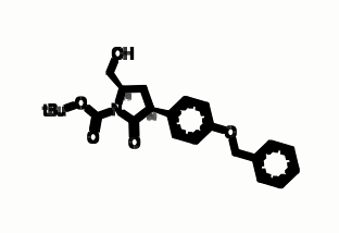 CC(C)(C)OC(=O)N1C(=O)[C@H](c2ccc(OCc3ccccc3)cc2)C[C@@H]1CO